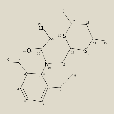 CCc1cccc(CC)c1N(CC1SC(C)CC(C)S1)C(=O)CCl